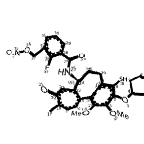 COc1c(OC2CCCC2)c(S)c2c(c1OC)-c1ccc(C)c(=O)cc1[C@@H](NC(=O)c1cccc(CO[N+](=O)[O-])c1F)CC2